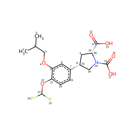 CC(C)COc1cc([C@@H]2C[C@H](C(=O)O)N(C(=O)O)C2)ccc1OC(F)F